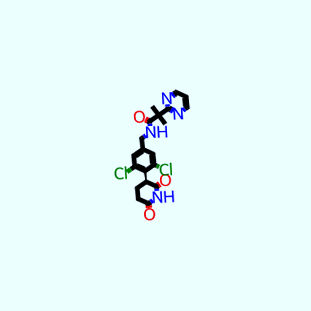 CC(C)(C(=O)NCc1cc(Cl)c([C@@H]2CCC(=O)NC2=O)c(Cl)c1)c1ncccn1